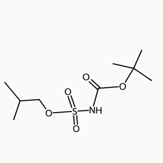 CC(C)COS(=O)(=O)NC(=O)OC(C)(C)C